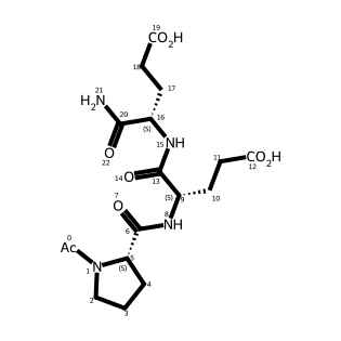 CC(=O)N1CCC[C@H]1C(=O)N[C@@H](CCC(=O)O)C(=O)N[C@@H](CCC(=O)O)C(N)=O